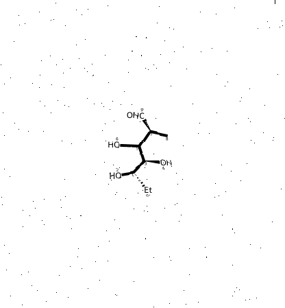 CC[C@H](O)[C@H](O)C(O)[C@H](C)C=O